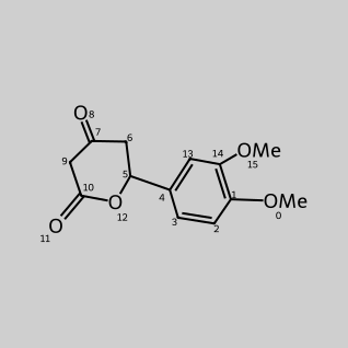 COc1ccc(C2CC(=O)CC(=O)O2)cc1OC